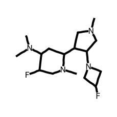 CN1CC(C2CC(N(C)C)C(F)CN2C)C(N2CC(F)C2)C1